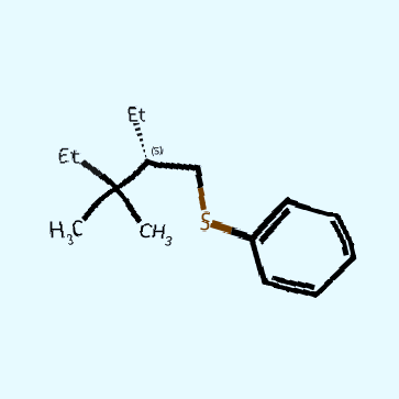 CC[C@H](CSc1ccccc1)C(C)(C)CC